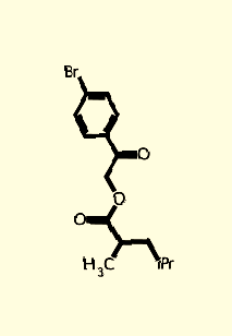 CC(C)CC(C)C(=O)OCC(=O)c1ccc(Br)cc1